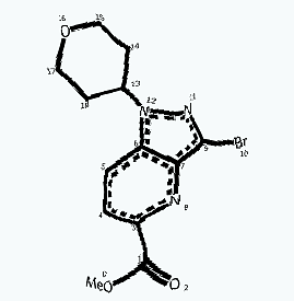 COC(=O)c1ccc2c(n1)c(Br)nn2C1CCOCC1